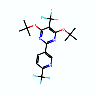 CC(C)(C)Oc1nc(-c2ccc(C(F)(F)F)nc2)nc(OC(C)(C)C)c1C(F)(F)F